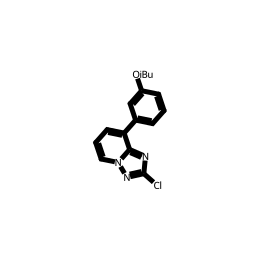 CC(C)COc1cccc(-c2cccn3nc(Cl)nc23)c1